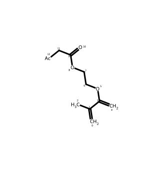 C=C(C)C(=C)OCCOC(=O)CC(C)=O